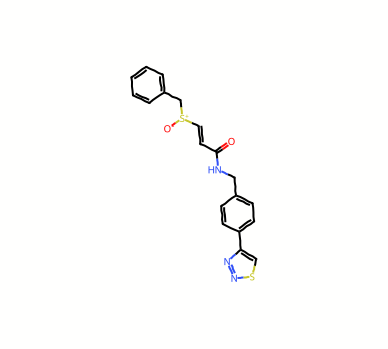 O=C(C=C[S+]([O-])Cc1ccccc1)NCc1ccc(-c2csnn2)cc1